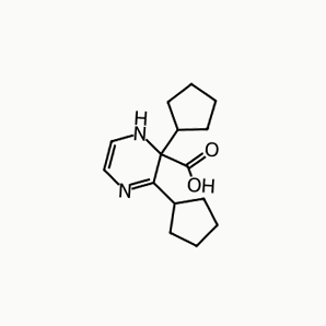 O=C(O)C1(C2CCCC2)NC=CN=C1C1CCCC1